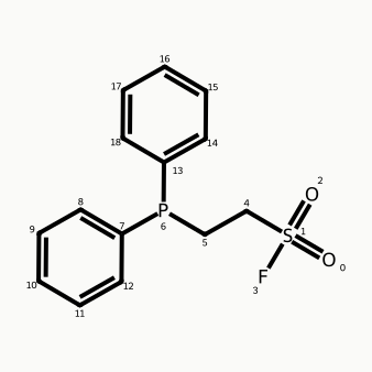 O=S(=O)(F)CCP(c1ccccc1)c1ccccc1